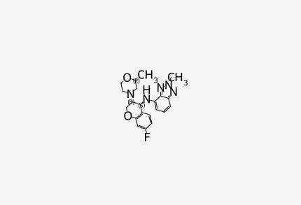 C[C@@H]1CN([C@H]2COc3cc(F)ccc3[C@@H]2Nc2cccc3nn(C)nc23)CCO1